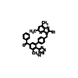 CCc1nc2c(C)cc(C)nc2n1Cc1ccc(-c2cc(C(=O)c3ccccc3)cc(C)c2-c2nnn[nH]2)cc1